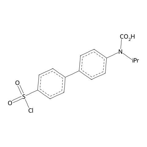 CC(C)N(C(=O)O)c1ccc(-c2ccc(S(=O)(=O)Cl)cc2)cc1